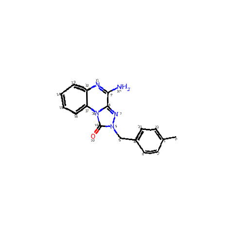 Cc1ccc(Cn2nc3c(N)nc4ccccc4n3c2=O)cc1